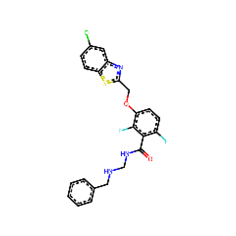 O=C(NCNCc1ccccc1)c1c(F)ccc(OCc2nc3cc(Cl)ccc3s2)c1F